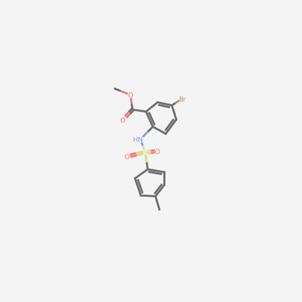 COC(=O)c1cc(Br)ccc1NS(=O)(=O)c1ccc(C)cc1